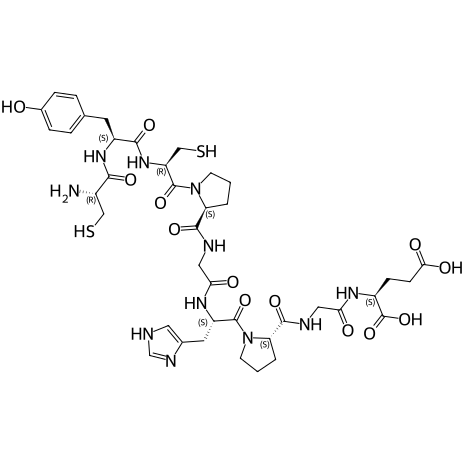 N[C@@H](CS)C(=O)N[C@@H](Cc1ccc(O)cc1)C(=O)N[C@@H](CS)C(=O)N1CCC[C@H]1C(=O)NCC(=O)N[C@@H](Cc1c[nH]cn1)C(=O)N1CCC[C@H]1C(=O)NCC(=O)N[C@@H](CCC(=O)O)C(=O)O